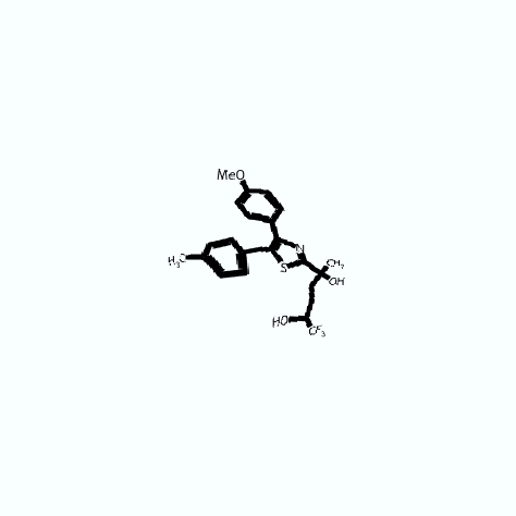 COc1ccc(-c2nc(C(C)(O)CCC(O)C(F)(F)F)sc2-c2ccc(C)cc2)cc1